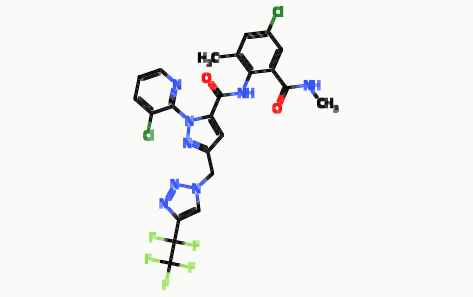 CNC(=O)c1cc(Cl)cc(C)c1NC(=O)c1cc(Cn2cc(C(F)(F)C(F)(F)F)nn2)nn1-c1ncccc1Cl